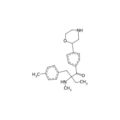 CCC(Cc1ccc(C)cc1)(NC)C(=O)c1ccc(C2CNCCO2)cc1